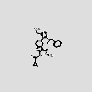 CCCCNC(=O)c1c(NC(=O)C2CC2)sc2c1CC(n1c(COC)nnc1N(CC)CC1=CC=CCC1)CC2